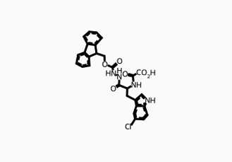 O=C(NNC(=O)C(Cc1c[nH]c2ccc(Cl)cc12)NC(=O)C(=O)O)OCC1c2ccccc2-c2ccccc21